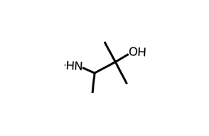 CC([NH])C(C)(C)O